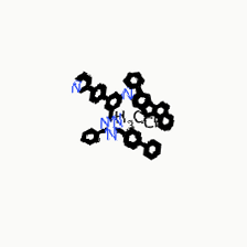 CC1(C)c2cc3c(cc2-c2ccc4ccccc4c21)c1ccccc1n3-c1cc(-c2ccc(-c3cccnc3)cc2)cc(-c2nc(-c3ccccc3)nc(-c3ccc(-c4ccccc4)cc3)n2)c1